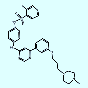 CN1CCN(CCCOc2cccc(-c3cc(Nc4ccc(NS(=O)(=O)c5ccccc5F)cc4)ncn3)c2)CC1